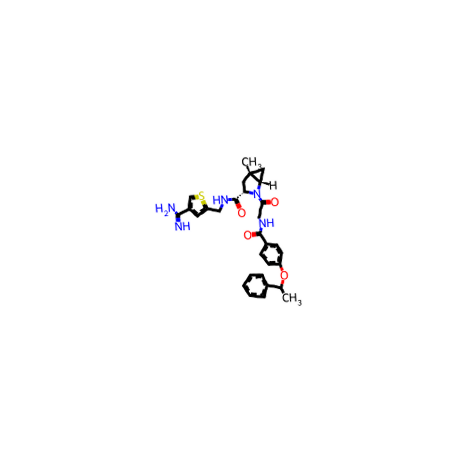 CC(Oc1ccc(C(=O)NCC(=O)N2[C@H]3C[C@@]3(C)C[C@H]2C(=O)NCc2cc(C(=N)N)cs2)cc1)c1ccccc1